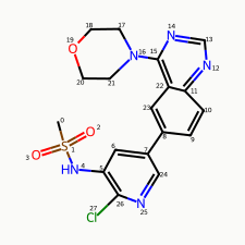 CS(=O)(=O)Nc1cc(-c2ccc3ncnc(N4CCOCC4)c3c2)cnc1Cl